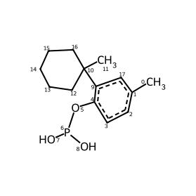 Cc1ccc(OP(O)O)c(C2(C)CCCCC2)c1